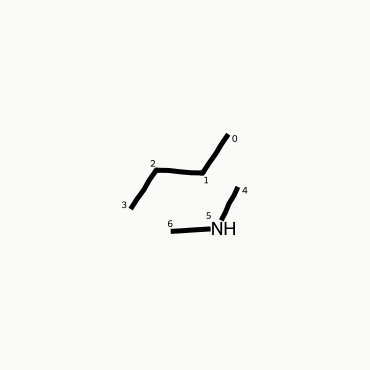 CCCC.CNC